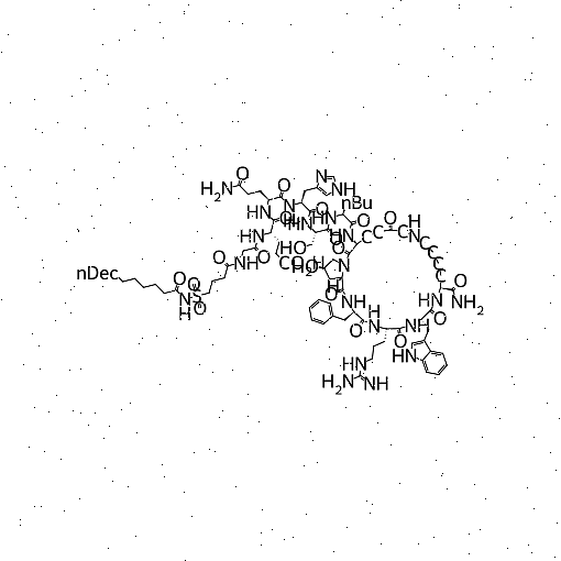 CCCCCCCCCCCCCCCC(=O)NS(=O)(=O)CCCC(=O)NCC(=O)N[C@@H](CCC(=O)O)C(=O)N[C@@H](CCC(N)=O)C(=O)N[C@@H](Cc1c[nH]cn1)C(=O)N[C@@H](CO)C(=O)N[C@@H](CCCC)C(=O)N[C@H]1CCC(=O)CNCCCC[C@@H](C(N)=O)NC(=O)[C@H](Cc2c[nH]c3ccccc23)NC(=O)[C@H](CCCNC(=N)N)NC(=O)[C@@H](Cc2ccccc2)NC(=O)[C@@H]2C[C@@H](O)CN2C1=O